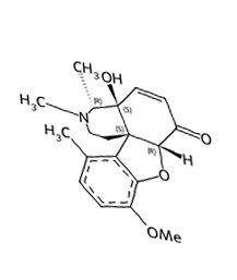 COc1ccc(C)c2c1O[C@H]1C(=O)C=C[C@@]3(O)[C@@H](C)N(C)CC[C@]213